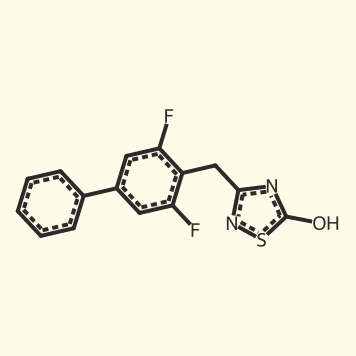 Oc1nc(Cc2c(F)cc(-c3ccccc3)cc2F)ns1